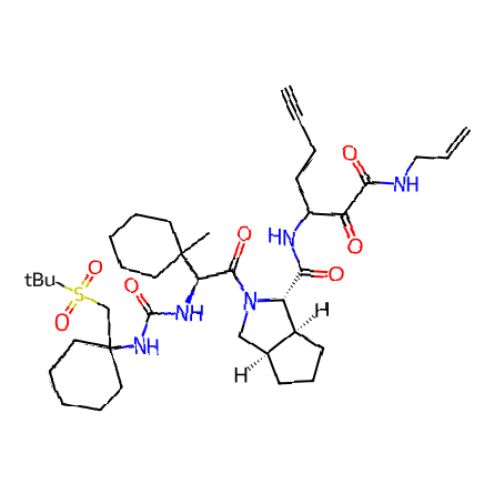 C#CCCC(NC(=O)[C@@H]1[C@H]2CCC[C@H]2CN1C(=O)[C@@H](NC(=O)NC1(CS(=O)(=O)C(C)(C)C)CCCCC1)C1(C)CCCCC1)C(=O)C(=O)NCC=C